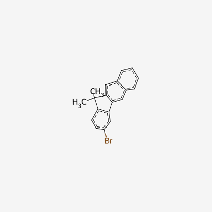 CC1(C)c2ccc(Br)cc2-c2cc3ccccc3cc21